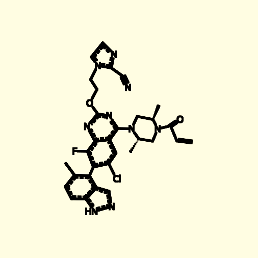 C=CC(=O)N1C[C@H](C)N(c2nc(OCCn3ccnc3C#N)nc3c(F)c(-c4c(C)ccc5[nH]ncc45)c(Cl)cc23)C[C@H]1C